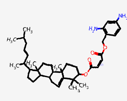 CC(C)CCCC(C)C1CCC2C3CC=C4C(C)(C)C(OC(=O)/C=C\C(=O)OCc5ccc(N)cc5N)CCC4(C)C3CCC12C